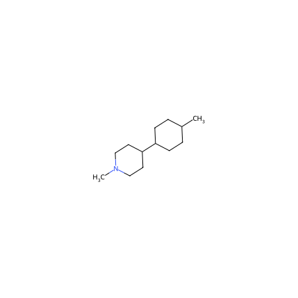 CC1CCC(C2CCN(C)CC2)CC1